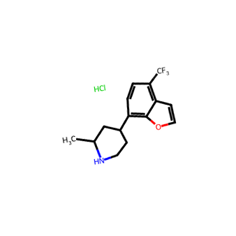 CC1CC(c2ccc(C(F)(F)F)c3ccoc23)CCN1.Cl